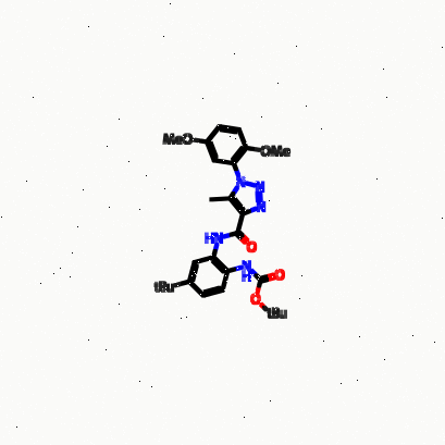 COc1ccc(OC)c(-n2nnc(C(=O)Nc3cc(C(C)(C)C)ccc3NC(=O)OC(C)(C)C)c2C)c1